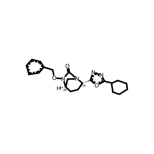 O=C1N2C[C@@H](CC[C@H]2c2nnc(C3CCCCC3)o2)N1OCc1ccccc1